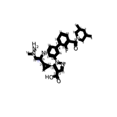 CC1CC(C)CN(C(=O)c2cccc(-c3cccc(-n4ncc(C(=O)O)c4[C@@H]4CC4/C(N)=C/N(C)N)c3)c2F)C1